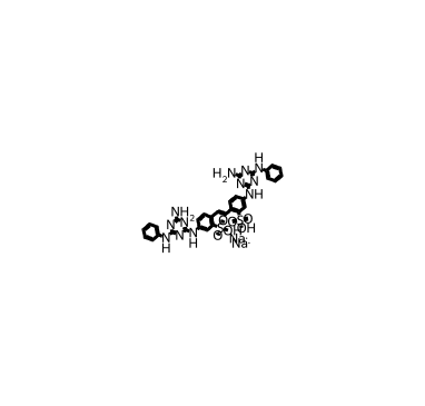 Nc1nc(Nc2ccccc2)nc(Nc2ccc(C=Cc3ccc(Nc4nc(N)nc(Nc5ccccc5)n4)cc3S(=O)(=O)O)c(S(=O)(=O)O)c2)n1.[Na].[Na]